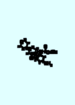 CC(C)(C)OC(=O)Nc1cc(N)ccc1N1CCN(C2CCOCC2)CC1C(F)(F)F